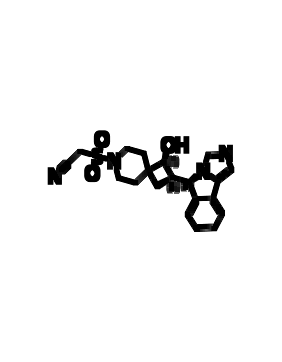 N#CCS(=O)(=O)N1CCC2(CC1)C[C@H]([C@@H]1c3ccccc3-c3cncn31)[C@@H]2O